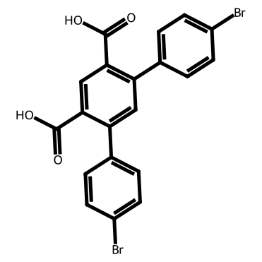 O=C(O)c1cc(C(=O)O)c(-c2ccc(Br)cc2)cc1-c1ccc(Br)cc1